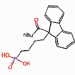 CCCCC(=O)C1(CCCCP(=O)(O)O)c2ccccc2-c2ccccc21